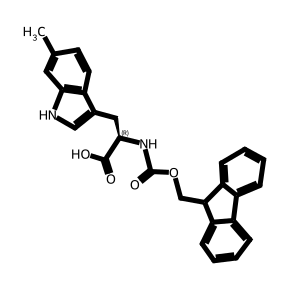 Cc1ccc2c(C[C@@H](NC(=O)OCC3c4ccccc4-c4ccccc43)C(=O)O)c[nH]c2c1